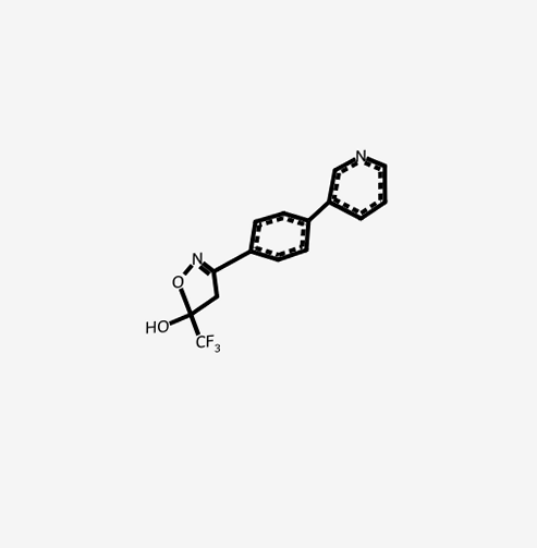 OC1(C(F)(F)F)CC(c2ccc(-c3cccnc3)cc2)=NO1